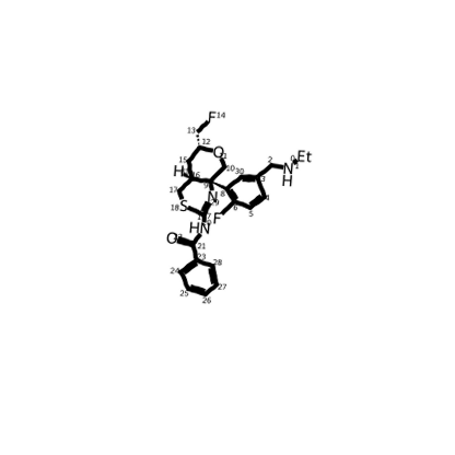 CCNCc1ccc(F)c([C@]23CO[C@@H](CF)C[C@H]2CSC(NC(=O)c2ccccc2)=N3)c1